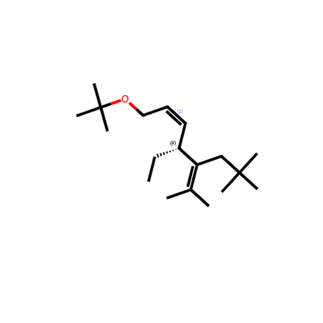 CC[C@H](/C=C\COC(C)(C)C)C(CC(C)(C)C)=C(C)C